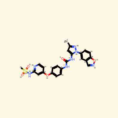 CC(C)c1cc(NC(=O)Nc2ccc(Oc3ccnc(NS(C)(=O)=O)c3)cc2)n(-c2ccc3oncc3c2)n1